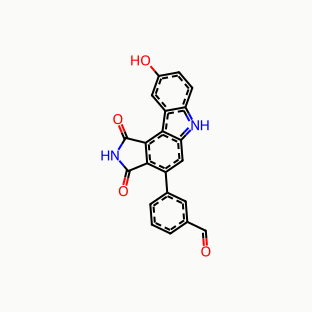 O=Cc1cccc(-c2cc3[nH]c4ccc(O)cc4c3c3c2C(=O)NC3=O)c1